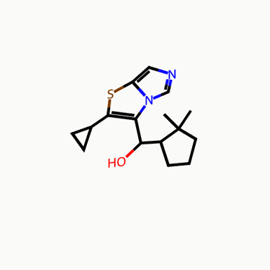 CC1(C)CCCC1C(O)c1c(C2CC2)sc2cncn12